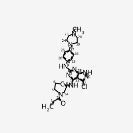 C=CC(=O)N1CCC[C@@H](Nc2nc(Nc3ccc(N4CCN(C)CC4)cc3)nc3[nH]nc(Cl)c23)C1